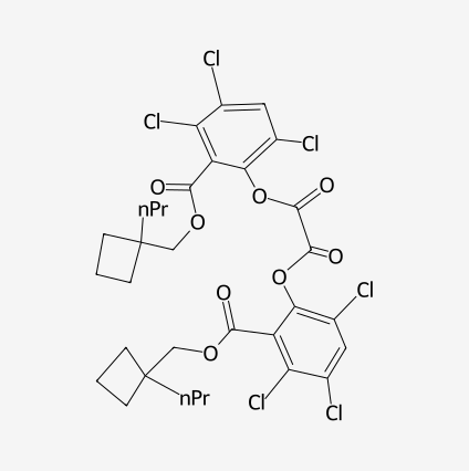 CCCC1(COC(=O)c2c(Cl)c(Cl)cc(Cl)c2OC(=O)C(=O)Oc2c(Cl)cc(Cl)c(Cl)c2C(=O)OCC2(CCC)CCC2)CCC1